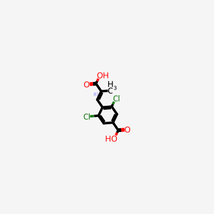 C/C(=C\c1c(Cl)cc(C(=O)O)cc1Cl)C(=O)O